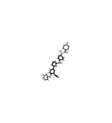 CN1CCC(N[S+]([O-])c2ccc(Nc3nccc(-c4ccc(OC5CCOCC5)c(C#N)c4)n3)cc2)CC1